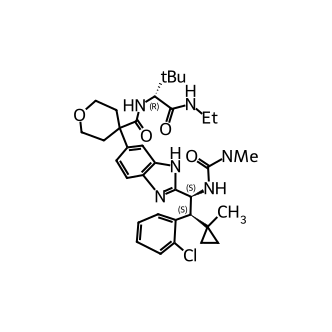 CCNC(=O)[C@H](NC(=O)C1(c2ccc3nc([C@@H](NC(=O)NC)[C@H](c4ccccc4Cl)C4(C)CC4)[nH]c3c2)CCOCC1)C(C)(C)C